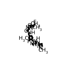 Cc1c(CNC(=O)c2noc(C(C)(C)CF)n2)ccc(-c2ncnc(Nc3ccn(C)n3)n2)c1F